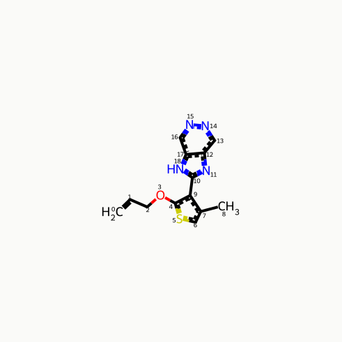 C=CCOc1scc(C)c1-c1nc2cnncc2[nH]1